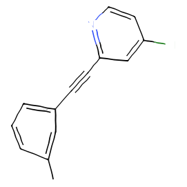 Cc1cccc(C#Cc2cc(Cl)ccn2)c1